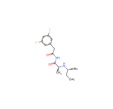 CCCC[C@@H](COC(C)=O)N[C@@H](C)C(=O)NC(=O)Cc1cc(F)cc(F)c1